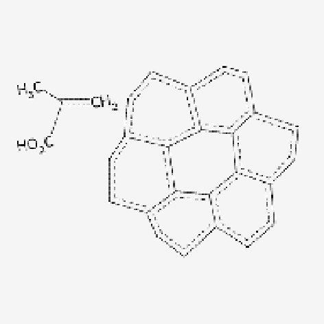 C=C(C)C(=O)O.c1cc2ccc3ccc4ccc5ccc6ccc1c1c2c3c4c5c61